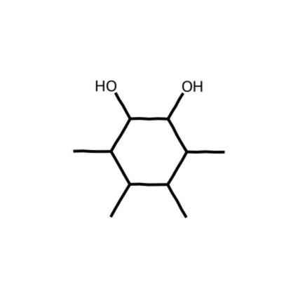 CC1C(C)C(C)C(O)C(O)C1C